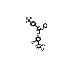 O=c1[nH]c(-c2ccc(OCc3sc(-c4ccc(C(F)(F)F)cc4)nc3CN3CCCC3)cc2Cl)no1